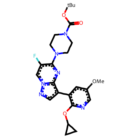 COc1cnc(OC2CC2)c(-c2cnn3cc(F)c(N4CCN(C(=O)OC(C)(C)C)CC4)nc23)c1